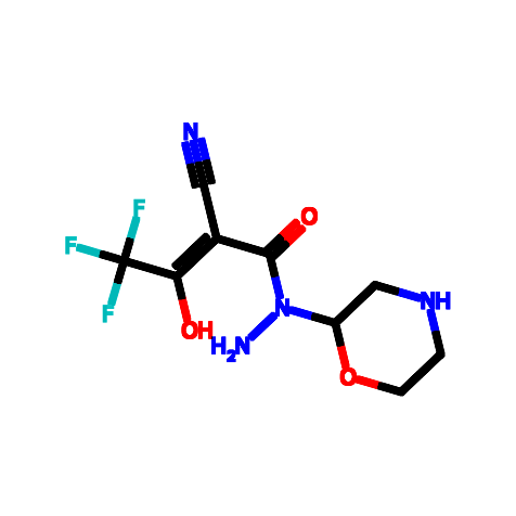 N#CC(C(=O)N(N)C1CNCCO1)=C(O)C(F)(F)F